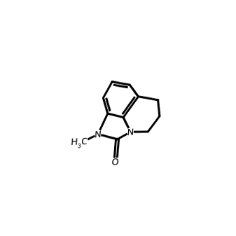 Cn1c(=O)n2c3c(cccc31)CCC2